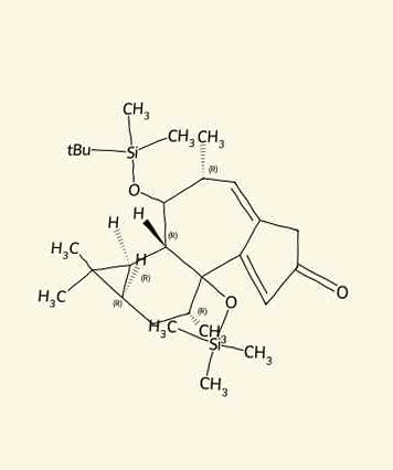 C[C@@H]1C=C2CC(=O)C=C2C2(O[Si](C)(C)C)[C@H](C)C[C@@H]3[C@H]([C@@H]2C1O[Si](C)(C)C(C)(C)C)C3(C)C